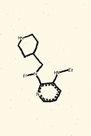 CCNc1cccnc1N(CC)CC1CCNCC1